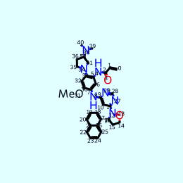 C=CC(=O)Nc1cc(Nc2cc(N3OCC[C@@H]3c3cccc4ccccc34)ncn2)c(OC)cc1N1CC[C@@H](N(C)C)C1